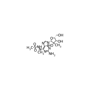 CN(NS(C)(=O)=O)c1nc(N)nc2c1ncn2[C@@H]1O[C@H](CO)C(O)[C@]1(C)O